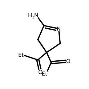 CCC(=O)C1(C(=O)CC)CN=C(N)C1